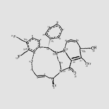 CC[C@H]1/C=C/COc2c(ccc(F)c2F)[C@H](c2ccccc2)N2CN1C(=O)C1=C(O)C(O)C=CN12